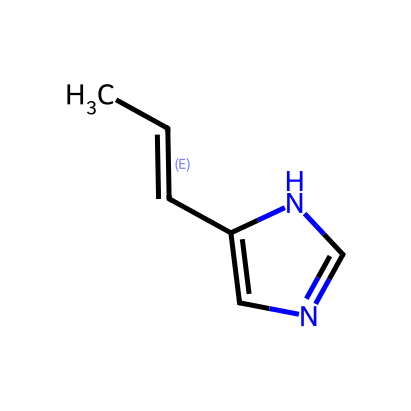 C/C=C/c1cnc[nH]1